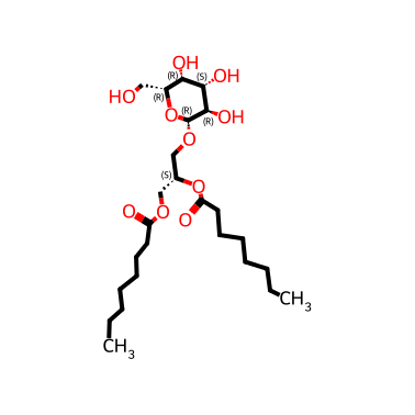 CCCCCCCC(=O)OC[C@H](CO[C@@H]1O[C@H](CO)[C@H](O)[C@H](O)[C@H]1O)OC(=O)CCCCCCC